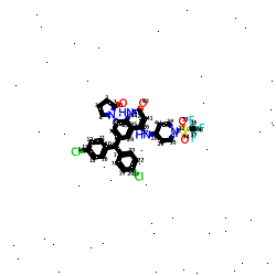 O=C1CCCN1c1cc(C(c2ccc(Cl)cc2)c2ccc(Cl)cc2)cc2c(NC3CCN(S(=O)(=O)C(F)(F)F)CC3)cc(=O)[nH]c12